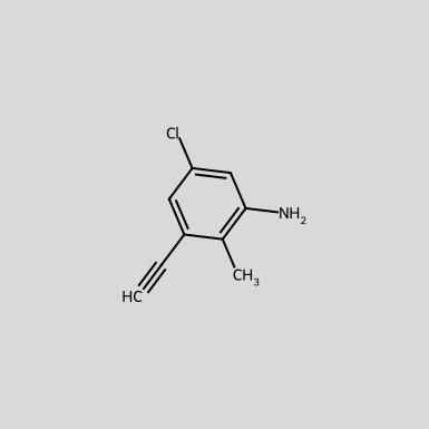 C#Cc1cc(Cl)cc(N)c1C